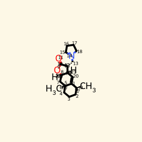 C[C@H]1CCC[C@]2(C)C[C@H]3OC(=O)[C@H](CN4CCCC4)[C@H]3C=C12